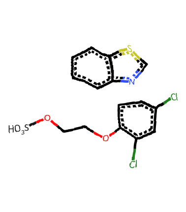 O=S(=O)(O)OCCOc1ccc(Cl)cc1Cl.c1ccc2scnc2c1